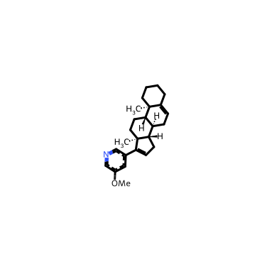 COc1cncc(C2=CC[C@H]3[C@@H]4CC=C5CCCC[C@]5(C)[C@H]4CC[C@]23C)c1